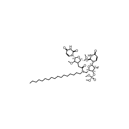 CCCCCCCCCCCCCCCCCN(C[C@H]1O[C@@H](n2ccc(=O)[nH]c2=O)[C@@H](F)[C@H]1OP(=O)(OC)OC)C(=O)CC1C(OC)[C@H](n2ccc(=O)[nH]c2=O)O[C@@H]1COC